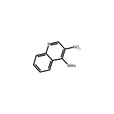 CNc1c([N+](=O)[O-])cnc2ccccc12